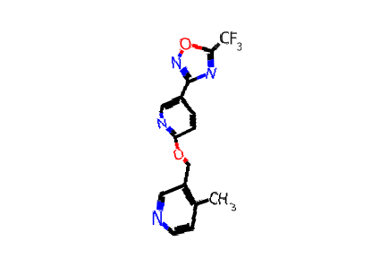 Cc1ccncc1COc1ccc(-c2noc(C(F)(F)F)n2)cn1